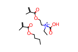 C=C(C)C(=O)OCCCC.C=C(C)C(=O)OCC[N+](C)(CC)C(=O)O